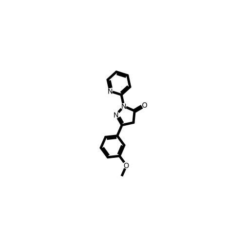 COc1cccc(C2=NN(c3ccccn3)C(=O)C2)c1